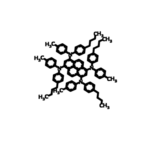 CCCCc1ccc(N(c2ccc(C)cc2)c2cc(N(c3ccc(C)cc3)c3ccc(CCCC)cc3)c3ccc4c(N(c5ccc(C)cc5)c5ccc(CCCC)cc5)cc(N(c5ccc(C)cc5)c5ccc(CCCC)cc5)c5ccc2c3c54)cc1